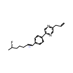 C=CCc1cnc(-c2ccc(/C=C/CCCC(C)F)cc2)cn1